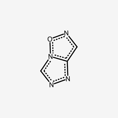 c1non2cnnc12